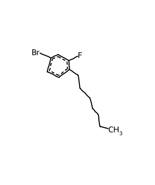 CCCCCCCc1ccc(Br)cc1F